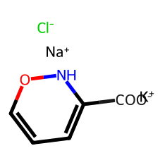 O=C([O-])C1=CC=CON1.[Cl-].[K+].[Na+]